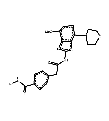 COc1ccc(N2CCOCC2)c2sc(NC(=O)Cc3ccc(C(=O)NO)cc3)nc12